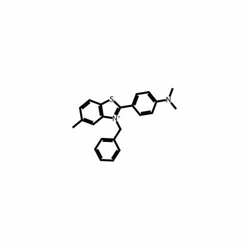 Cc1ccc2sc(-c3ccc(N(C)C)cc3)[n+](Cc3ccccc3)c2c1